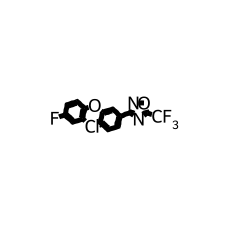 Fc1ccc(Oc2[c]ccc(-c3noc(C(F)(F)F)n3)c2)c(Cl)c1